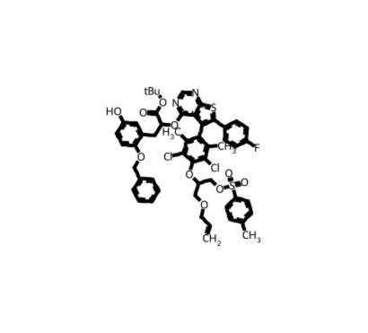 C=CCOCC(COS(=O)(=O)c1ccc(C)cc1)Oc1c(Cl)c(C)c(-c2c(-c3ccc(F)cc3)sc3ncnc(OC(Cc4cc(O)ccc4OCc4ccccc4)C(=O)OC(C)(C)C)c23)c(C)c1Cl